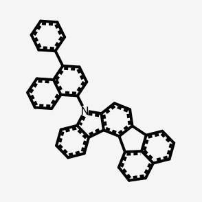 c1ccc(-c2ccc(-n3c4ccccc4c4c5c(ccc43)-c3cccc4cccc-5c34)c3ccccc23)cc1